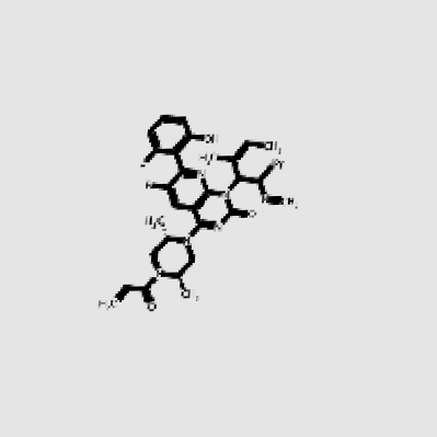 C=CC(=O)N1C[C@H](C)N(c2nc(=O)n(C(/C(C)=C\C)C(N=C)C(C)C)c3nc(-c4c(O)cccc4F)c(F)cc23)C[C@H]1C